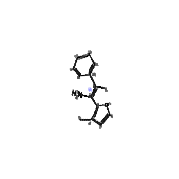 C/C(=C(/N)c1occc1C)c1ccccc1